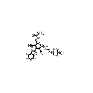 CN1CCN(CCCNc2nc(SCC(N)=O)c(C#N)c(-c3cc4ccccc4o3)c2C#N)CC1